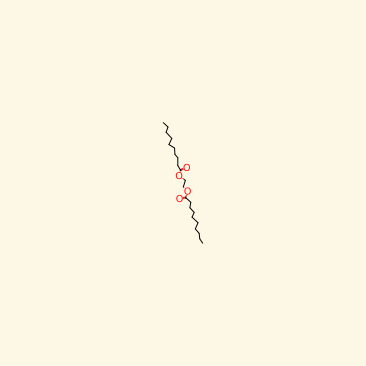 CCCCCCCCCC(=O)OCCOC(=O)CCCCCCCCC